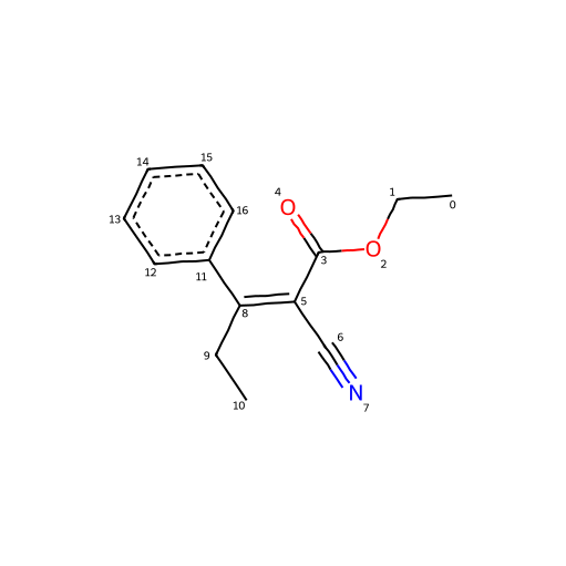 CCOC(=O)/C(C#N)=C(/CC)c1ccccc1